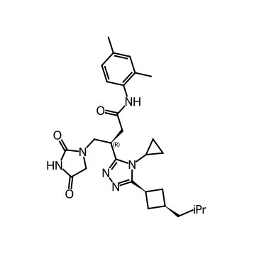 Cc1ccc(NC(=O)C[C@H](CN2CC(=O)NC2=O)c2nnc([C@H]3C[C@@H](CC(C)C)C3)n2C2CC2)c(C)c1